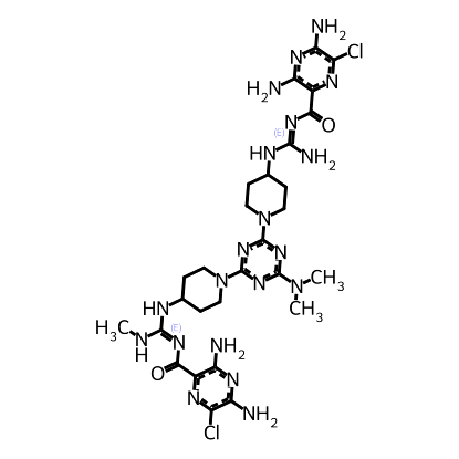 CN/C(=N\C(=O)c1nc(Cl)c(N)nc1N)NC1CCN(c2nc(N(C)C)nc(N3CCC(N/C(N)=N/C(=O)c4nc(Cl)c(N)nc4N)CC3)n2)CC1